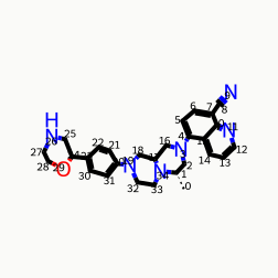 C[C@H]1CN(c2ccc(C#N)c3ncccc23)CC2CN(c3ccc(C4CNCCO4)cc3)CCN21